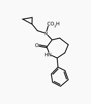 O=C1NC(c2ccccc2)CCCC1N(CC1CC1)C(=O)O